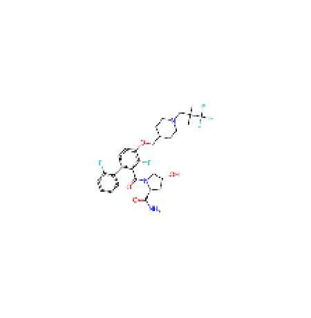 CC(C)(CN1CCC(COc2ccc(-c3ccccc3F)c(C(=O)N3C[C@H](O)C[C@H]3C(N)=O)c2F)CC1)C(F)(F)F